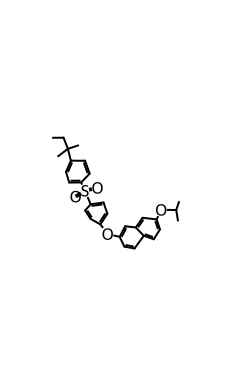 CCC(C)(C)c1ccc(S(=O)(=O)c2ccc(Oc3ccc4ccc(OC(C)C)cc4c3)cc2)cc1